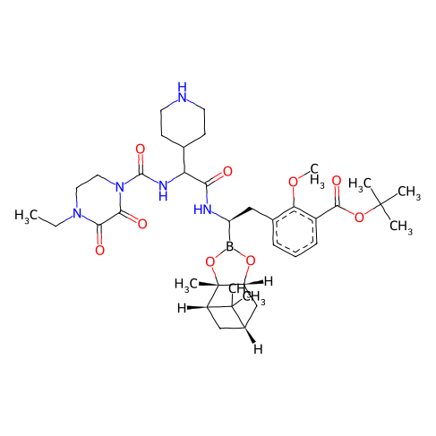 CCN1CCN(C(=O)NC(C(=O)N[C@@H](Cc2cccc(C(=O)OC(C)(C)C)c2OC)B2O[C@@H]3C[C@@H]4C[C@@H](C4(C)C)[C@]3(C)O2)C2CCNCC2)C(=O)C1=O